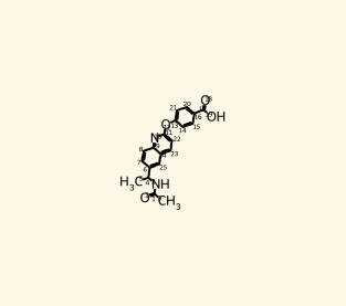 CC(=O)NC(C)c1ccc2nc(Oc3ccc(C(=O)O)cc3)ccc2c1